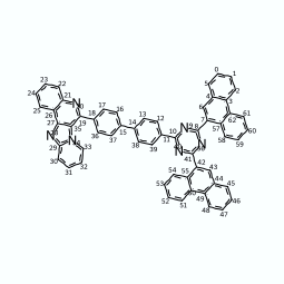 c1ccc2c(c1)cc(-c1nc(-c3ccc(-c4ccc(-c5nc6ccccc6c6nc7ccccn7c56)cc4)cc3)nc(-c3cc4ccccc4c4ccccc34)n1)c1ccccc12